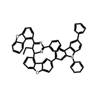 CCC1C(c2cccc3oc4ccccc4c23)=NC(c2ccccc2)=NC1c1cccc2oc3ccc(-c4ccc5c6cc(-c7ccccc7)ccc6n(C6=CCCC=C6)c5c4)cc3c12